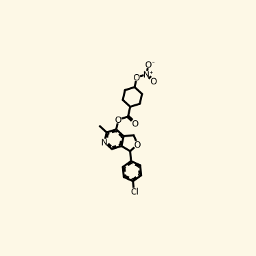 Cc1ncc2c(c1OC(=O)C1CCC(O[N+](=O)[O-])CC1)COC2c1ccc(Cl)cc1